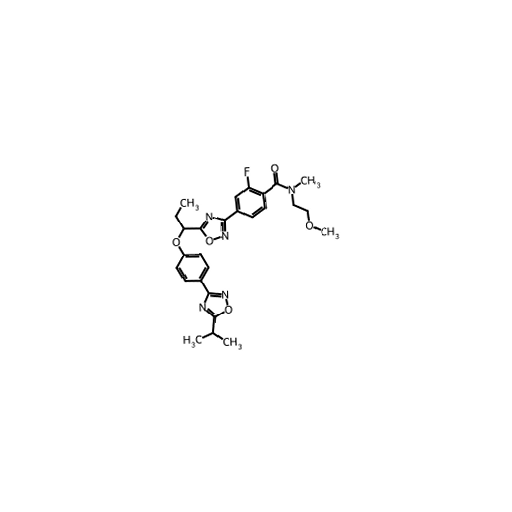 CCC(Oc1ccc(-c2noc(C(C)C)n2)cc1)c1nc(-c2ccc(C(=O)N(C)CCOC)c(F)c2)no1